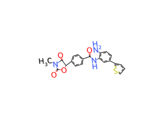 CN1C(=O)OC(c2ccc(C(=O)Nc3cc(-c4cccs4)ccc3N)cc2)C1=O